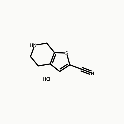 Cl.N#Cc1cc2c(s1)CNCC2